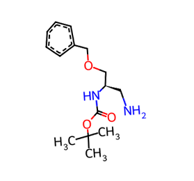 CC(C)(C)OC(=O)N[C@H](CN)COCc1ccccc1